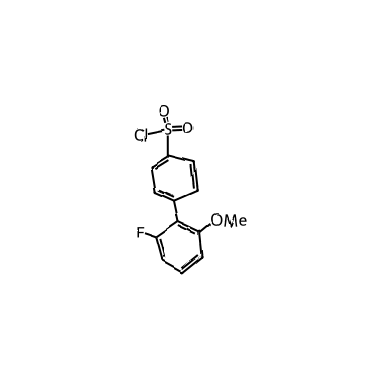 COc1cccc(F)c1-c1ccc(S(=O)(=O)Cl)cc1